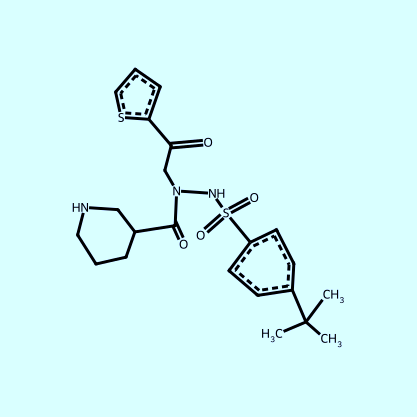 CC(C)(C)c1ccc(S(=O)(=O)NN(CC(=O)c2cccs2)C(=O)C2CCCNC2)cc1